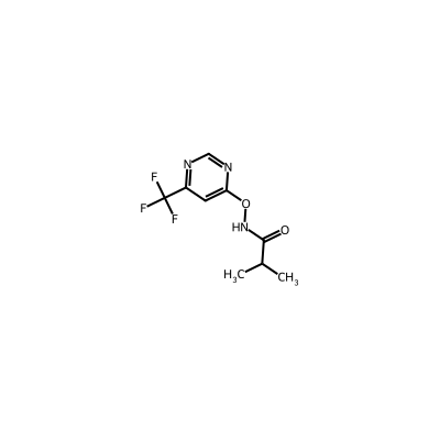 CC(C)C(=O)NOc1cc(C(F)(F)F)ncn1